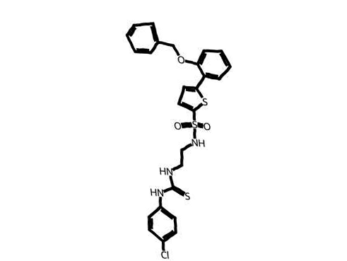 O=S(=O)(NCCNC(=S)Nc1ccc(Cl)cc1)c1ccc(-c2ccccc2OCc2ccccc2)s1